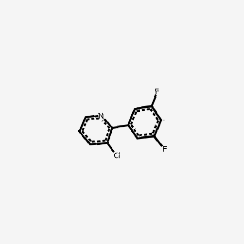 Fc1[c]c(F)cc(-c2ncccc2Cl)c1